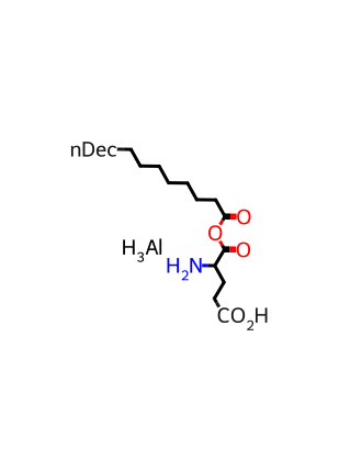 CCCCCCCCCCCCCCCCCC(=O)OC(=O)C(N)CCC(=O)O.[AlH3]